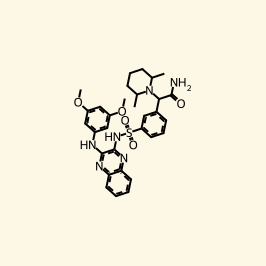 COc1cc(Nc2nc3ccccc3nc2NS(=O)(=O)c2cccc(C(C(N)=O)N3C(C)CCCC3C)c2)cc(OC)c1